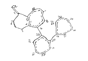 O=C1CCc2c1cccc2-c1ccccc1-c1ccccc1